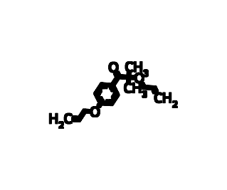 C=CCOc1ccc(C(=O)C(C)(C)OCC=C)cc1